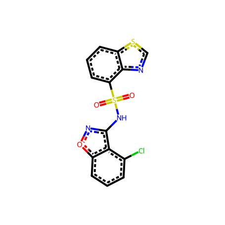 O=S(=O)(Nc1noc2cccc(Cl)c12)c1cccc2scnc12